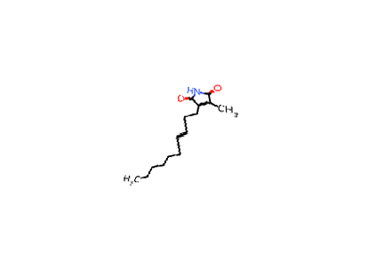 CCCCCCCCCCC1=C(C)C(=O)NC1=O